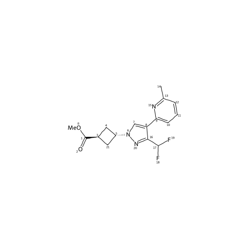 COC(=O)[C@H]1C[C@H](n2cc(-c3cccc(C)n3)c(C(F)F)n2)C1